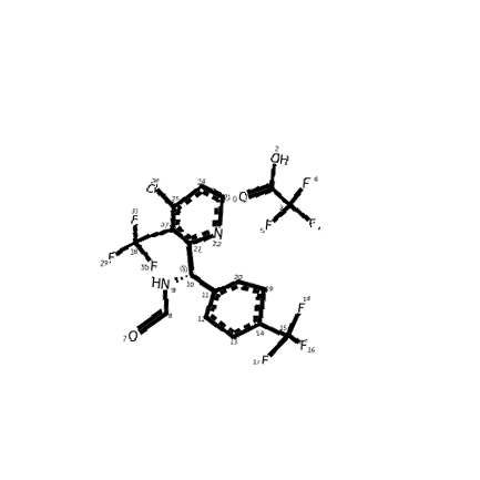 O=C(O)C(F)(F)F.O=CN[C@@H](c1ccc(C(F)(F)F)cc1)c1nccc(Cl)c1C(F)(F)F